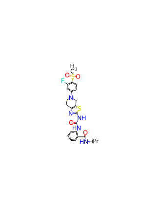 CC(C)NC(=O)c1ccccc1NC(=O)Nc1nc2c(s1)CN(c1ccc(S(C)(=O)=O)c(F)c1)CC2